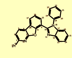 CC(C)c1ccc2c(n1)oc1c(-c3nc4ccccc4n3-c3ccccc3)cccc12